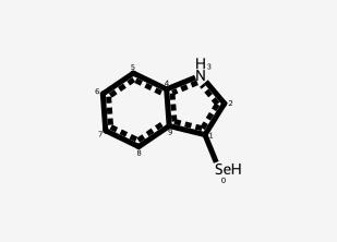 [SeH]c1[c][nH]c2ccccc12